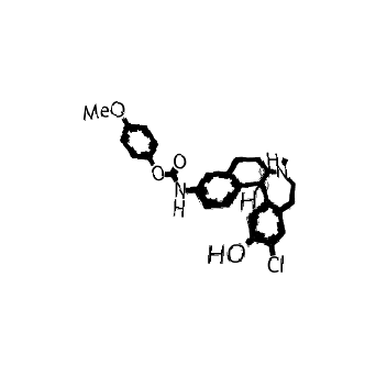 COc1ccc(OC(=O)Nc2ccc3c(c2)CC[C@H]2[C@H]3c3cc(O)c(Cl)cc3CCN2C)cc1